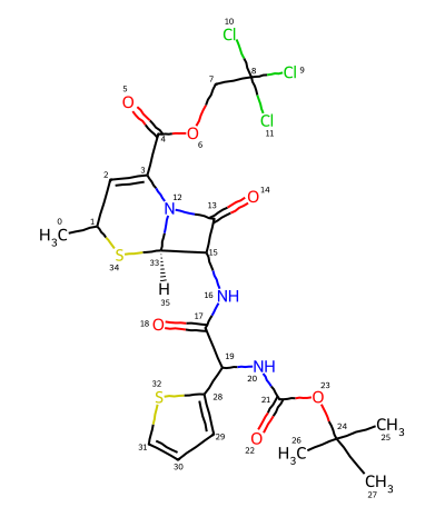 CC1C=C(C(=O)OCC(Cl)(Cl)Cl)N2C(=O)C(NC(=O)C(NC(=O)OC(C)(C)C)c3cccs3)[C@H]2S1